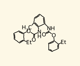 CCc1ccccc1OC(=O)Nc1cccc(C)c1NC(=O)Oc1ccccc1CC